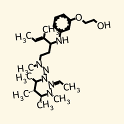 C/C=N\N(C)[C@@H](C)[C@H](C)C(C)/N=N\N(C)CCC(Nc1cccc(OCCO)c1)/C(C)=C/C